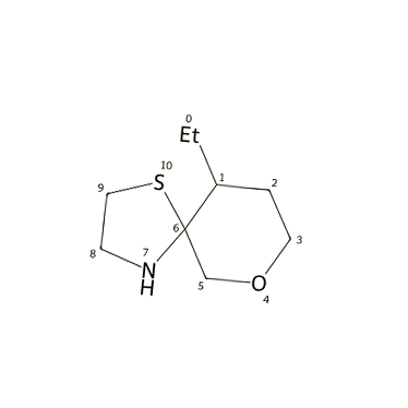 CCC1CCOCC12NCCS2